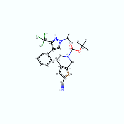 CC(C)n1cc(-c2ccccc2[C@@H]2CN(C(=O)OC(C)(C)C)Cc3sc(C#N)cc32)c(C(F)(F)F)n1